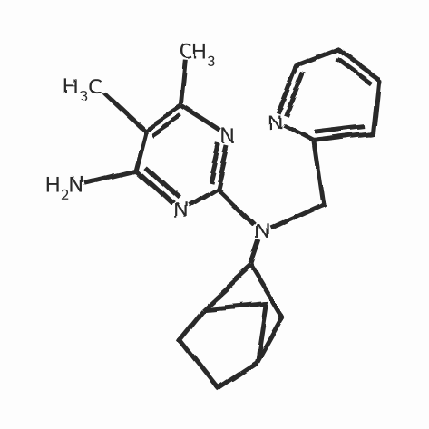 Cc1nc(N(Cc2ccccn2)C2CC3CCC2C3)nc(N)c1C